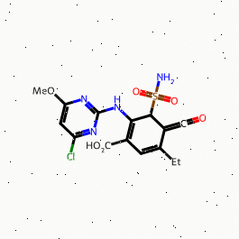 CCC1=CC(C(=O)O)=C(Nc2nc(Cl)cc(OC)n2)C(S(N)(=O)=O)C1=C=O